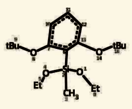 CCO[Si](C)(OCC)c1c(OC(C)(C)C)cccc1OC(C)(C)C